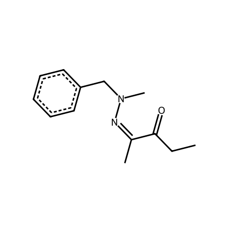 CCC(=O)C(C)=NN(C)Cc1ccccc1